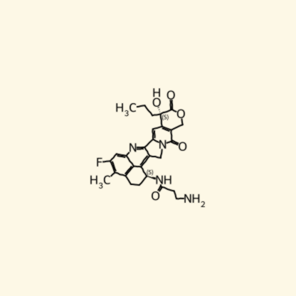 CCC[C@@]1(O)C(=O)OCc2c1cc1n(c2=O)Cc2c-1nc1cc(F)c(C)c3c1c2[C@@H](NC(=O)CCN)CC3